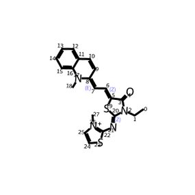 CCN1C(=O)/C(=C/C=C2\C=Cc3ccccc3N2C)S/C1=N\c1scc[n+]1C